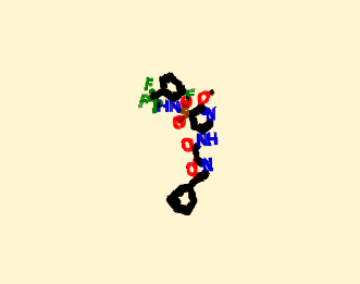 COc1ncc(NC(=O)c2ncc(-c3ccccc3)o2)cc1S(=O)(=O)Nc1c(F)cccc1C(F)(F)F